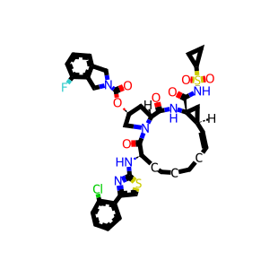 O=C1N[C@]2(C(=O)NS(=O)(=O)C3CC3)C[C@H]2/C=C\CCCCC[C@H](Nc2nc(-c3ccccc3Cl)cs2)C(=O)N2C[C@H](OC(=O)N3Cc4cccc(F)c4C3)C[C@@H]12